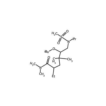 CCC(C)OC(CN(C(C)C)S(C)(=O)=O)C(C)(C)CC(CC)C(=O)N(C)C